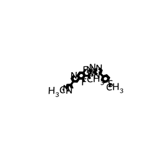 CSc1ccc(-c2cnc3nnn(C(C)c4c(F)cc5ncc(-c6cnn(C)c6)cc5c4F)c3n2)cc1